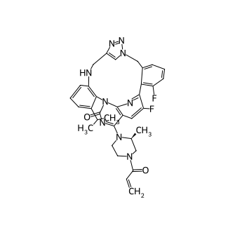 C=CC(=O)N1CCN(c2nc(=O)n3c4nc(c(F)cc24)-c2c(F)cccc2Cn2cc(nn2)CNc2cccc(C(C)C)c2-3)[C@@H](C)C1